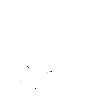 COCCc1ccc(Cc2cc([C@@H]3O[C@H](CO)[C@@H](O)[C@H](O)[C@H]3O)ccc2C#N)cc1